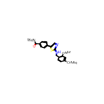 CNC(=O)c1ccc(-c2cnc(NCc3ccc(OC)cc3OC)s2)cc1